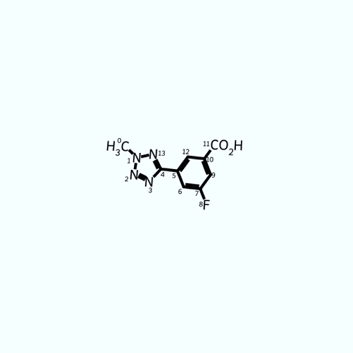 Cn1nnc(-c2cc(F)cc(C(=O)O)c2)n1